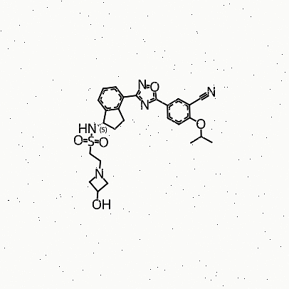 CC(C)Oc1ccc(-c2nc(-c3cccc4c3CC[C@@H]4NS(=O)(=O)CCN3CC(O)C3)no2)cc1C#N